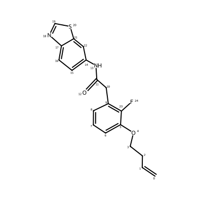 C=CCCOc1cccc(CC(=O)Nc2ccc3ncsc3c2)c1F